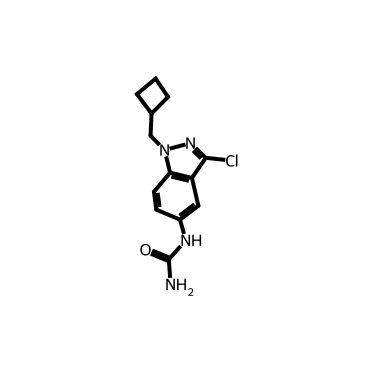 NC(=O)Nc1ccc2c(c1)c(Cl)nn2CC1CCC1